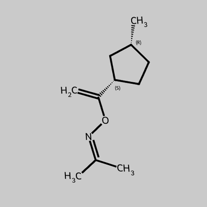 C=C(ON=C(C)C)[C@H]1CC[C@@H](C)C1